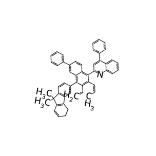 C=Cc1c(/C=C\C)c(-c2cc(-c3ccccc3)c3ccccc3n2)c2ccc(-c3ccccc3)cc2c1-c1ccc2c(c1)C1=C(C=CCC1)C2(C)C